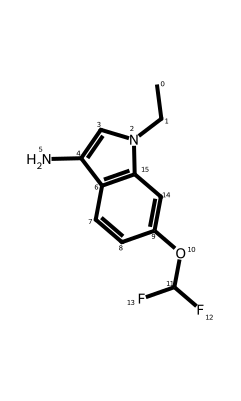 CCn1cc(N)c2ccc(OC(F)F)cc21